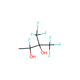 CC(O)(F)C(O)(C(F)(F)F)C(F)(F)F